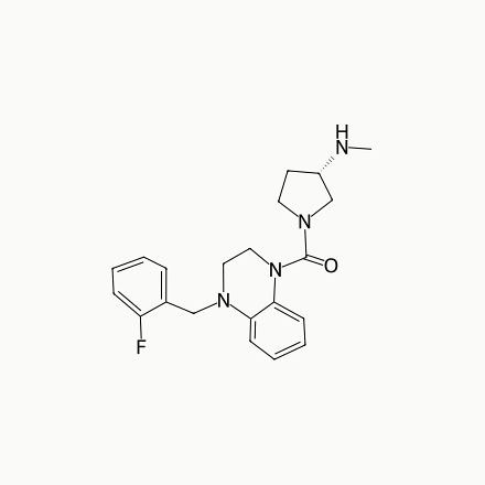 CN[C@H]1CCN(C(=O)N2CCN(Cc3ccccc3F)c3ccccc32)C1